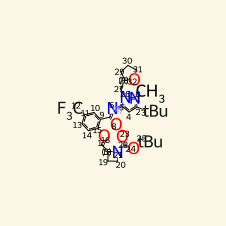 Cn1c(C(C)(C)C)c/c(=N\C(=O)c2cc(C(F)(F)F)ccc2OC[C@@H]2CCN2C(=O)OC(C)(C)C)n1C[C@H]1CCCO1